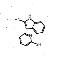 Sc1ccccn1.Sc1nc2ccccc2[nH]1